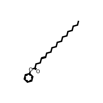 CCCCCCCCCCCCC/C=C/CCC(=O)Oc1ccccc1